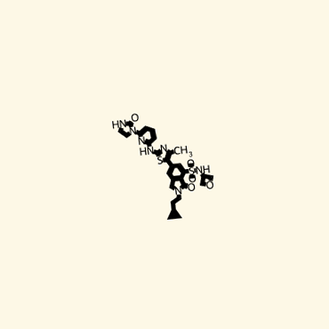 Cc1nc(Nc2cccc(N3CCNC3=O)n2)sc1-c1cc2c(c(S(=O)(=O)NC3COC3)c1)C(=O)N(CCC1CC1)C2